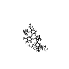 CC1(C)CC(n2cc(-c3cnc(N)c(-c4nnnn4-c4cccc(F)c4F)c3)nn2)CC(C)(C)N1